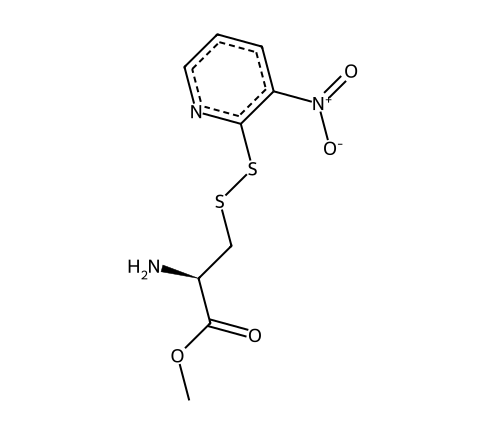 COC(=O)[C@@H](N)CSSc1ncccc1[N+](=O)[O-]